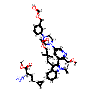 CCn1c(-c2cc(N3CCN(c4cccc(COC=O)c4)CC3)cnc2[C@H](C)OC)c(CC(C)(C)COC(C)=O)c2cc([C@@H]3C[C@H]3CC[C@H](N)C(=O)OC)ccc21